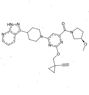 C#CC1(COc2nc(C(=O)N3CC[C@@H](OC)C3)cc(N3CCC(c4n[nH]c5ncccc45)CC3)n2)CC1